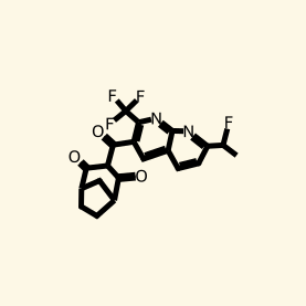 CC(F)c1ccc2cc(C(=O)C3C(=O)C4CCC(C4)C3=O)c(C(F)(F)F)nc2n1